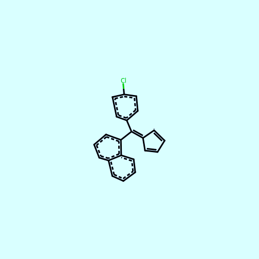 Clc1ccc(C(=C2[C]=CC=C2)c2cccc3ccccc23)cc1